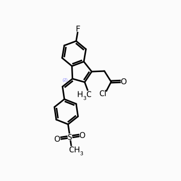 CC1=C(CC(=O)Cl)c2cc(F)ccc2/C1=C/c1ccc(S(C)(=O)=O)cc1